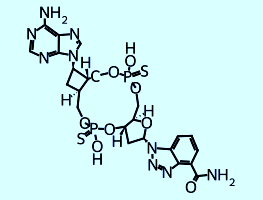 NC(=O)c1cccc2c1nnn2[C@H]1C[C@@H]2OP(O)(=S)OC[C@H]3C[C@@H](n4cnc5c(N)ncnc54)[C@@H]3COP(O)(=S)OC[C@H]2O1